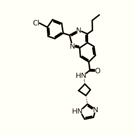 CCCc1nc(-c2ccc(Cl)cc2)nc2cc(C(=O)N[C@H]3C[C@@H](c4ncc[nH]4)C3)ccc12